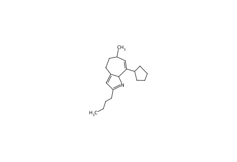 CCCCC1=NC2C(=C1)CCC(C)C=C2C1CCCC1